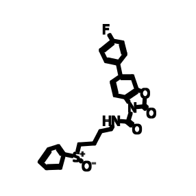 O=C(NCCCC[S+]([O-])c1ccccc1)n1c(=O)oc2cc(-c3ccc(F)cc3)ccc21